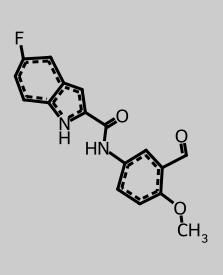 COc1ccc(NC(=O)c2cc3cc(F)ccc3[nH]2)cc1C=O